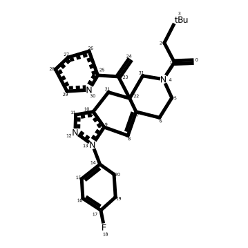 C=C(CC(C)(C)C)N1CCC2=Cc3c(cnn3C3=CC=C(F)CC3)CC2(C(=C)c2ccccn2)C1